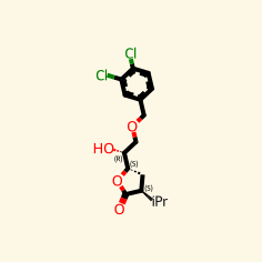 CC(C)[C@@H]1C[C@@H]([C@H](O)COCc2ccc(Cl)c(Cl)c2)OC1=O